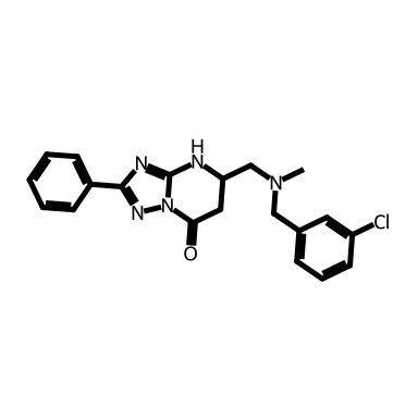 CN(Cc1cccc(Cl)c1)CC1CC(=O)n2nc(-c3ccccc3)nc2N1